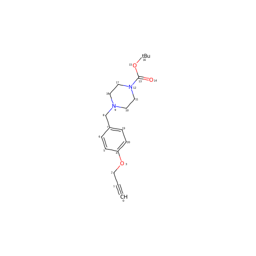 C#CCOc1ccc(CN2CCN(C(=O)OC(C)(C)C)CC2)cc1